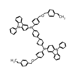 C=Cc1ccc(COCc2ccc(N(c3ccc(-c4ccc(N(c5ccc(COCc6ccc(C=C)cc6)cc5)c5ccc6c(c5)c5ccccc5n6-c5ccccc5)cc4)cc3)c3ccc4c(c3)c3ccccc3n4-c3ccccc3)cc2)cc1